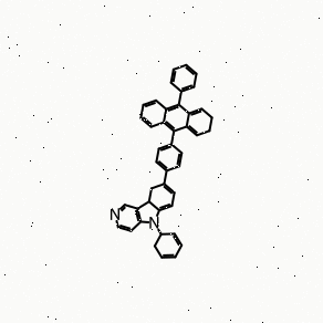 C1=CCC(N2C3=CC=C(c4ccc(-c5c6c(c(-c7ccccc7)c7ccccc57)=CCCC=6)cc4)CC3c3cnccc32)C=C1